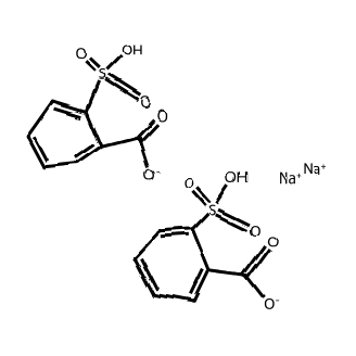 O=C([O-])c1ccccc1S(=O)(=O)O.O=C([O-])c1ccccc1S(=O)(=O)O.[Na+].[Na+]